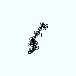 CC[C@@]1(OC(=O)C(C)NC(=O)COCCNC(=O)OCCOCCN2C(=O)CC(SC)C2=O)C(=O)OCc2c1cc1n(c2=O)Cc2cc3ccccc3nc2-1